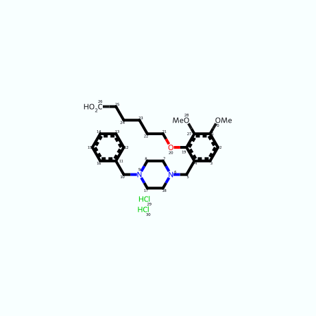 COc1ccc(CN2CCN(Cc3ccccc3)CC2)c(OCCCCCC(=O)O)c1OC.Cl.Cl